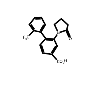 O=C(O)c1ccc(-c2ccccc2C(F)(F)F)c(N2CCCC2=O)c1